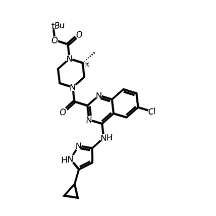 C[C@@H]1CN(C(=O)c2nc(Nc3cc(C4CC4)[nH]n3)c3cc(Cl)ccc3n2)CCN1C(=O)OC(C)(C)C